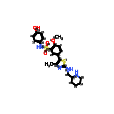 COc1ccc(-c2sc(NCC3CCCCN3)nc2C)cc1S(=O)(=O)Nc1ccc(O)cc1